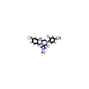 CC(=O)N1CC2(C1)C(=O)N(c1ccc(C#N)cc1F)CC(=O)N2Cc1ccc(Cl)cc1